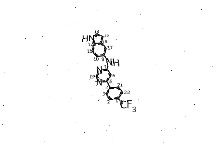 FC(F)(F)c1ccc(-c2cc(Nc3ccc4[nH]ccc4c3)ncn2)cc1